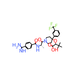 C[C@H](NC(=O)c1ccc(C(=N)N)cc1)C(=O)N1CCC(OC(C(=O)O)C(C)(C)C)(c2cccc(C(F)(F)F)c2)CC1